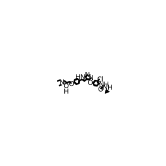 CCN(CC)C[C@@H](O)COc1ccc(-c2cc3c(Oc4ccc(NC(=O)NC5CC5)c(Cl)c4)ncnc3[nH]2)cc1